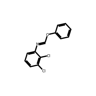 Clc1cccc(N=COc2ccccc2)c1Cl